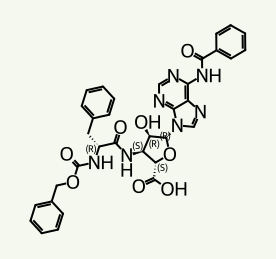 O=C(N[C@H](Cc1ccccc1)C(=O)N[C@H]1[C@@H](O)[C@H](n2cnc3c(NC(=O)c4ccccc4)ncnc32)O[C@@H]1C(=O)O)OCc1ccccc1